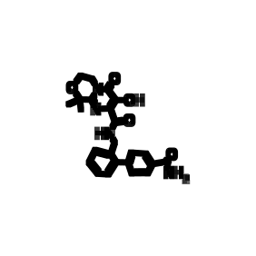 CC1(C)OCCn2c1nc(C(=O)NCc1ccccc1-c1ccc(C(N)=O)cc1)c(O)c2=O